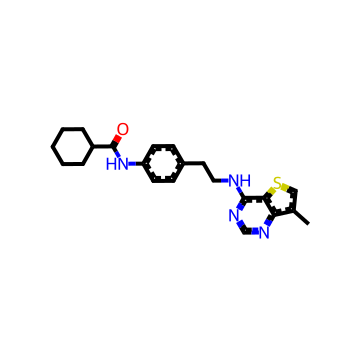 Cc1csc2c(NCCc3ccc(NC(=O)C4CCCCC4)cc3)ncnc12